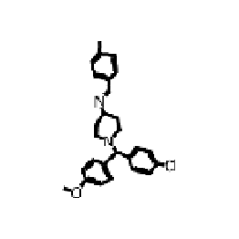 COc1ccc(C(c2ccc(Cl)cc2)N2CCC(N=Cc3ccc(C)cc3)CC2)cc1